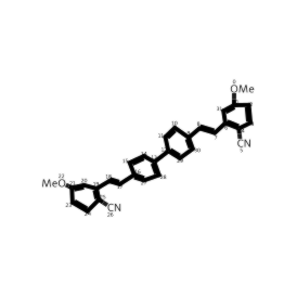 COc1ccc(C#N)c(C=Cc2ccc(-c3ccc(C=Cc4cc(OC)ccc4C#N)cc3)cc2)c1